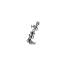 CC(C)(C)OC(=O)N1CCC(N(C(=O)c2cnc(-c3ccc(CC(=O)NCc4ccncc4)cc3)nc2)C2CC2)CC1